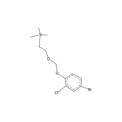 C[Si](C)(C)CCOCOc1ccc(Br)cc1Cl